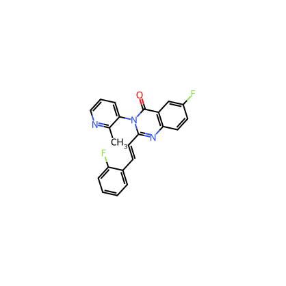 Cc1ncccc1-n1c(C=Cc2ccccc2F)nc2ccc(F)cc2c1=O